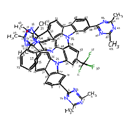 Cc1nc(C)nc(-c2ccc3c4ccc(-c5nc(C)nc(C)n5)cc4n(-c4cc(C(F)(F)F)cc(-n5c6cc(-c7nc(C)nc(C)n7)ccc6c6ccc(-c7nc(C)nc(C)n7)cc65)c4-c4cccc(-c5ccccc5)n4)c3c2)n1